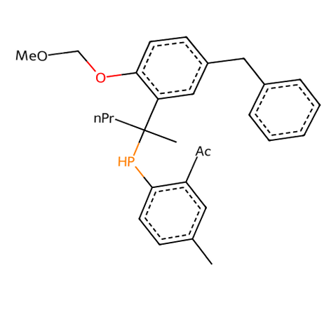 CCCC(C)(Pc1ccc(C)cc1C(C)=O)c1cc(Cc2ccccc2)ccc1OCOC